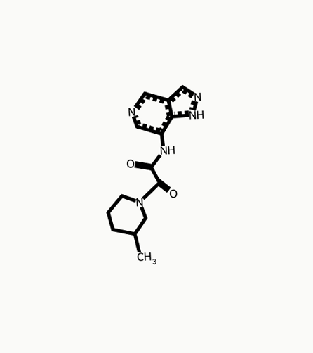 CC1CCCN(C(=O)C(=O)Nc2cncc3cn[nH]c23)C1